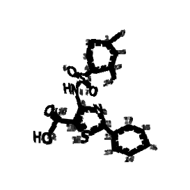 Cc1ccc(S(=O)(=O)Nc2nc(-c3ccccc3)sc2C(=O)O)c(C)c1